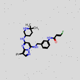 CC(C)c1cnn2c(NCc3cccc(NC(=O)C=CF)c3)cc(NC3CCC(C)(C)NC3)nc12